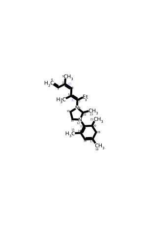 C=C/C(C)=C\C(C)=C(/CC)N1CCN(C2=C(C)C=C(C)CC2C)C1C